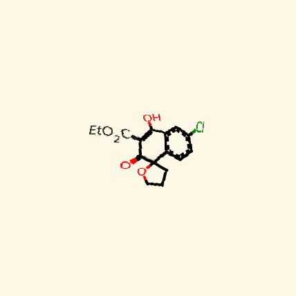 CCOC(=O)C1=C(O)c2cc(Cl)ccc2C2(CCCO2)C1=O